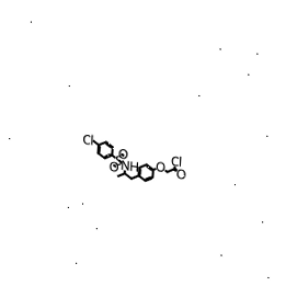 CC(Cc1ccc(OCC(=O)Cl)cc1)NS(=O)(=O)c1ccc(Cl)cc1